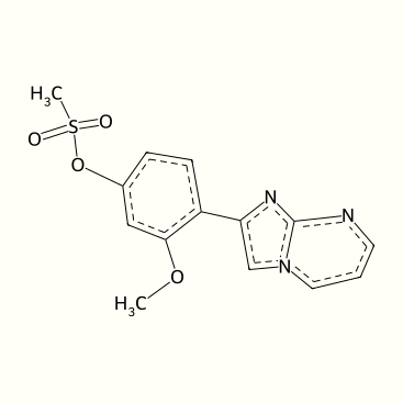 COc1cc(OS(C)(=O)=O)ccc1-c1cn2cccnc2n1